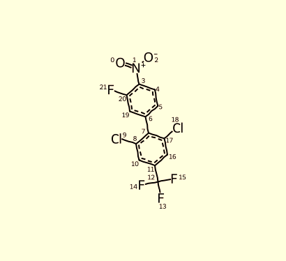 O=[N+]([O-])c1ccc(-c2c(Cl)cc(C(F)(F)F)cc2Cl)cc1F